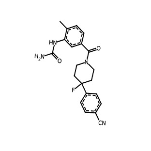 Cc1ccc(C(=O)N2CCC(F)(c3ccc(C#N)cc3)CC2)cc1NC(N)=O